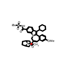 CCC(C)S(=O)(=O)NC(=O)c1ccc2c(C3CCCCC3)c3n(c2c1)CC(C(=O)N1C2CCC1CN(C)C2)=Cc1cc(OC)ccc1-3